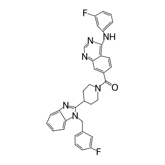 O=C(c1ccc2c(Nc3cccc(F)c3)ncnc2c1)N1CCC(c2nc3ccccc3n2Cc2cccc(F)c2)CC1